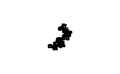 Cc1cc(Cl)c(COc2cccc3c(-c4ncc(Cl)n4C)cc(C)nc23)c(CNC(=O)C(C)C)n1